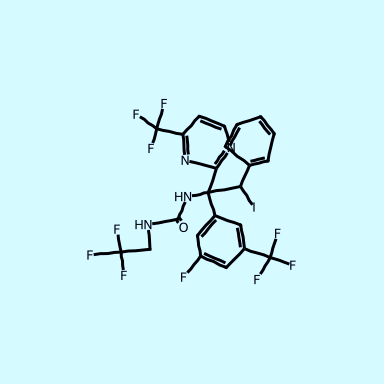 O=C(NCC(F)(F)F)NC(c1cc(F)cc(C(F)(F)F)c1)(c1nccc(C(F)(F)F)n1)C(I)c1ccccc1